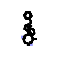 CC1C2CC3=C(CCC4=C3/C=C\C/N=C\C41C)N2Cc1ccccc1